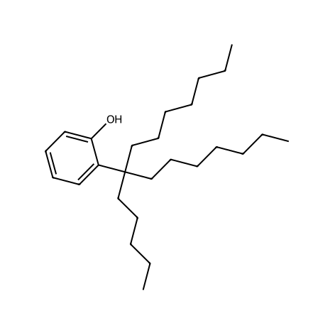 CCCCCCCC(CCCCC)(CCCCCCC)c1ccccc1O